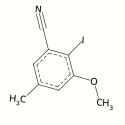 COc1cc(C)cc(C#N)c1I